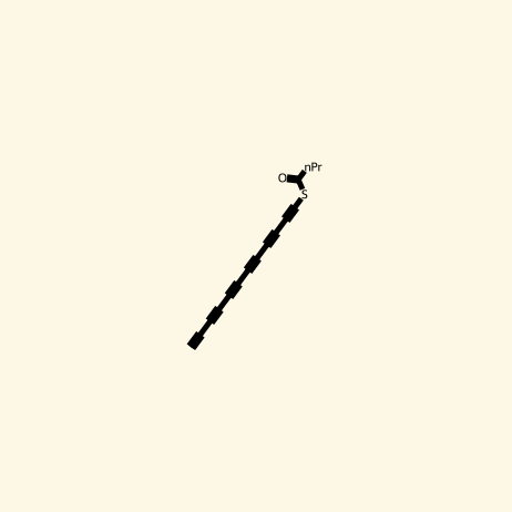 C#CC#CC#CC#CC#CC#CSC(=O)CCC